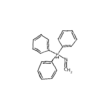 C=N[PH](c1ccccc1)(c1ccccc1)c1ccccc1